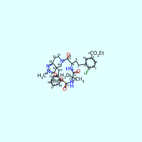 CCOC(=O)c1ccc(F)c(CCC(NC(=O)C(C)(C)NC(=O)OC(C)(C)C)C(=O)N2CCC3=NN(C)C(=O)C3(Cc3ccccc3)C2)c1